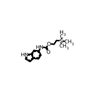 C[Si](C)(C)CCOC(=O)Nc1ccc2cc[nH]c2c1